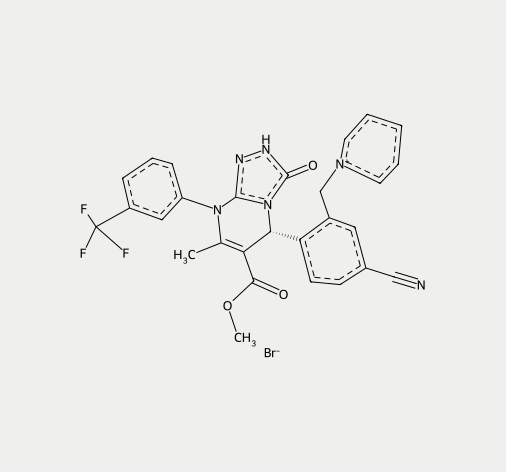 COC(=O)C1=C(C)N(c2cccc(C(F)(F)F)c2)c2n[nH]c(=O)n2[C@@H]1c1ccc(C#N)cc1C[n+]1ccccc1.[Br-]